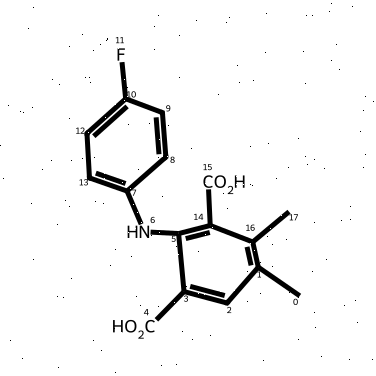 Cc1cc(C(=O)O)c(Nc2ccc(F)cc2)c(C(=O)O)c1C